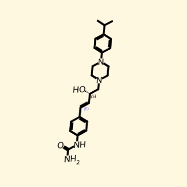 CC(C)c1ccc(N2CCN(C[C@@H](O)/C=C/c3ccc(NC(N)=O)cc3)CC2)cc1